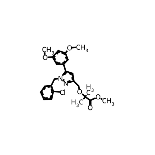 COC(=O)C(C)(C)OCc1cc(-c2cc(OC)cc(OC)c2)n(Cc2ccccc2Cl)n1